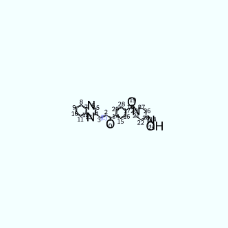 O=C(/C=C/c1cnc2ccccc2n1)c1ccc(C(=O)N2CCC(=NO)CC2)cc1